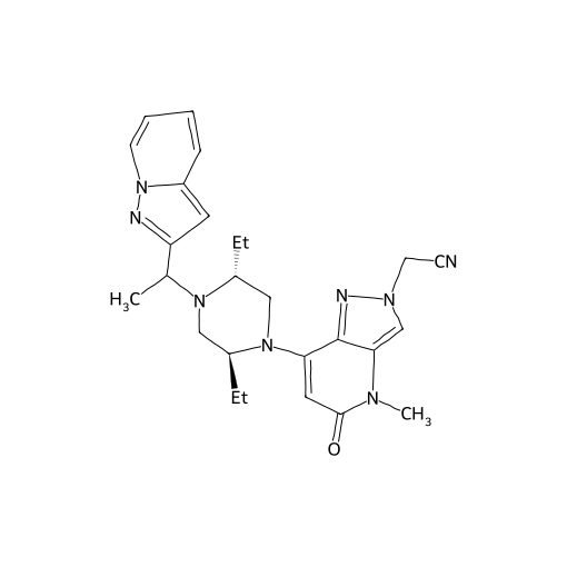 CC[C@H]1CN(C(C)c2cc3ccccn3n2)[C@H](CC)CN1c1cc(=O)n(C)c2cn(CC#N)nc12